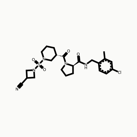 Cc1cc(Cl)ccc1CNC(=O)[C@H]1CCCN1C(=O)[C@H]1CCCN(S(=O)(=O)N2CC(C#N)C2)C1